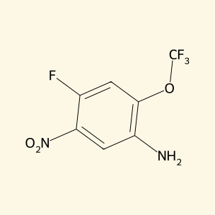 Nc1cc([N+](=O)[O-])c(F)cc1OC(F)(F)F